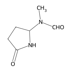 CN(C=O)C1CCC(=O)N1